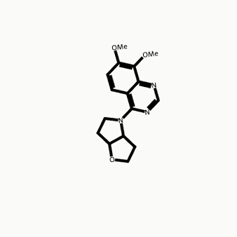 COc1ccc2c(N3CCC4OCCC43)ncnc2c1OC